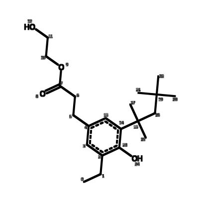 CCc1cc(CCC(=O)OCCO)cc(C(C)(C)CC(C)(C)C)c1O